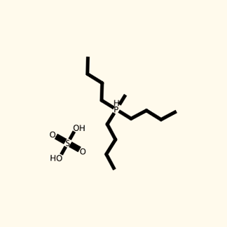 CCCC[PH](C)(CCCC)CCCC.O=S(=O)(O)O